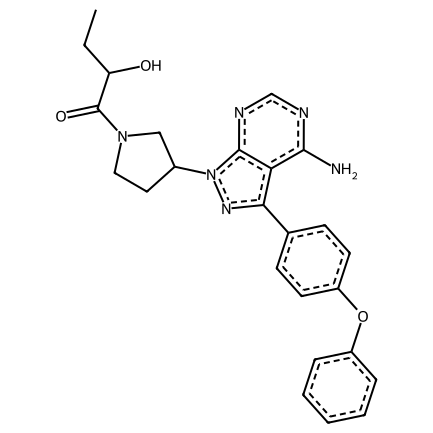 CCC(O)C(=O)N1CCC(n2nc(-c3ccc(Oc4ccccc4)cc3)c3c(N)ncnc32)C1